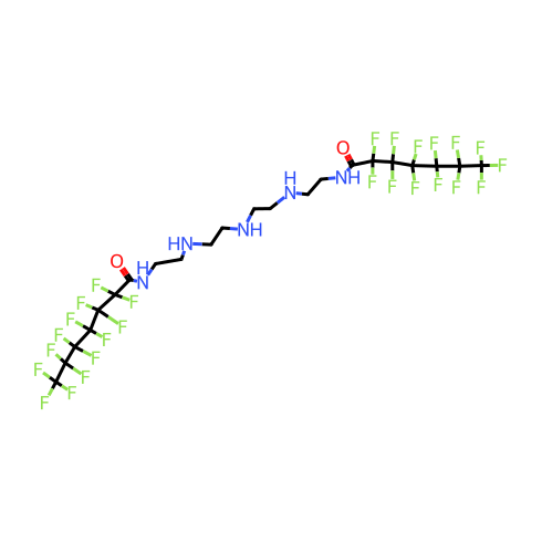 O=C(NCCNCCNCCNCCNC(=O)C(F)(F)C(F)(F)C(F)(F)C(F)(F)C(F)(F)C(F)(F)F)C(F)(F)C(F)(F)C(F)(F)C(F)(F)C(F)(F)C(F)(F)F